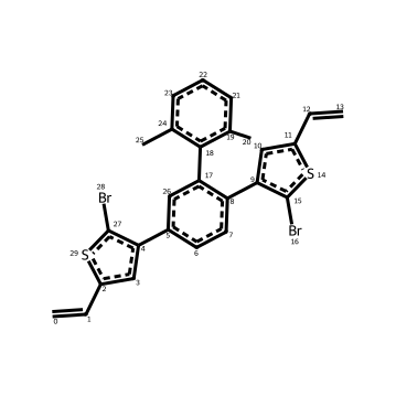 C=Cc1cc(-c2ccc(-c3cc(C=C)sc3Br)c(-c3c(C)cccc3C)c2)c(Br)s1